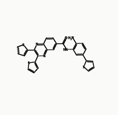 Nc1ccc(-c2cccs2)cc1NC(=O)c1ccc2nc(-c3cccs3)c(-c3cccs3)nc2c1